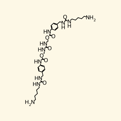 NCCCCCNC(=O)NCc1ccc(NC(=O)OCNC(=O)NCOC(=O)Nc2ccc(CNC(=O)NCCCCCN)cc2)cc1